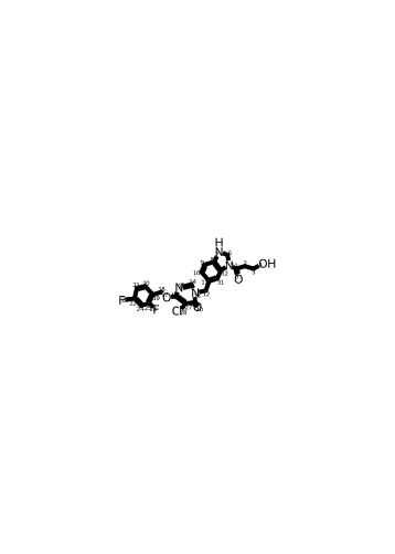 O=C(CCO)N1CNc2ccc(Cn3cnc(OCc4ccc(F)cc4F)c(Cl)c3=O)cc21